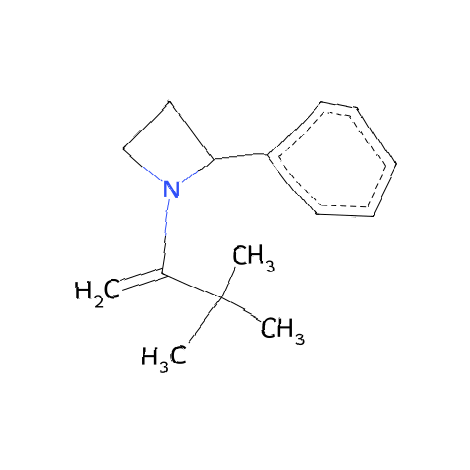 C=C(N1CCC1c1ccccc1)C(C)(C)C